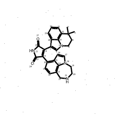 CC1(C)CCn2cc(C3=C(c4ccc5c6c4ccn6CCNC5)C(=O)NC3=O)c3cccc1c32